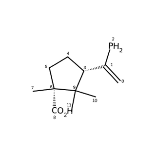 C=C(P)[C@H]1CC[C@@](C)(C(=O)O)C1(C)C